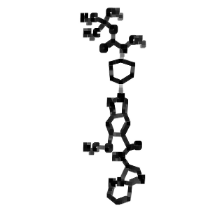 COc1cc2nn([C@H]3CC[C@@H](N(C)C(=O)OC(C)(C)C)CC3)cc2cc1C(=O)Nc1cnc2cccnn12